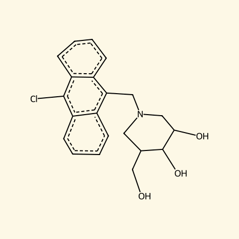 OCC1CN(Cc2c3ccccc3c(Cl)c3ccccc23)CC(O)C1O